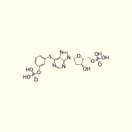 O=P(O)(O)OC[C@H]1O[C@@H](n2cnc3c(Sc4cccc(OP(=O)(O)O)c4)ncnc32)C[C@@H]1O